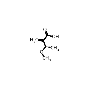 C=C(C(=O)O)[C@@H](C)OC